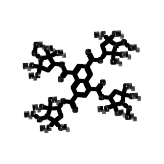 CON1C(C)(C)CC(OC(=O)c2cc(C(=O)OC3CC(C)(C)N(OC)C3(C)C)c3cc(C(=O)OC4CC(C)(C)N(OC)C4(C)C)cc(C(=O)OC4CC(C)(C)N(OC)C4(C)C)c3c2)C1(C)C